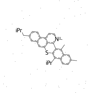 Cc1ccc2c(C(C)C)c3c(c(C)c2c1)-c1c2c(cc4cc(CC(C)C)ccc4c2cc[n+]1C)S3